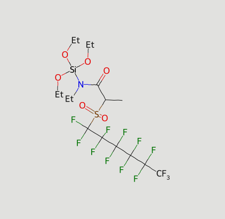 CCO[Si](OCC)(OCC)N(CC)C(=O)C(C)S(=O)(=O)C(F)(F)C(F)(F)C(F)(F)C(F)(F)C(F)(F)C(F)(F)F